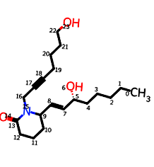 CCCCC[C@@H](O)/C=C/C1CCCC(=O)N1CC#CCCCCO